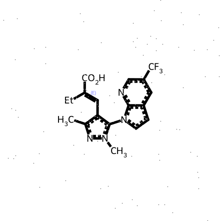 CC/C(=C\c1c(C)nn(C)c1-n1ccc2cc(C(F)(F)F)cnc21)C(=O)O